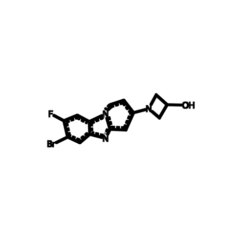 OC1CN(c2ccn3c(c2)nc2cc(Br)c(F)cc23)C1